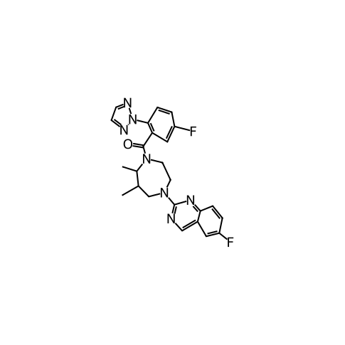 CC1CN(c2ncc3cc(F)ccc3n2)CCN(C(=O)c2cc(F)ccc2-n2nccn2)C1C